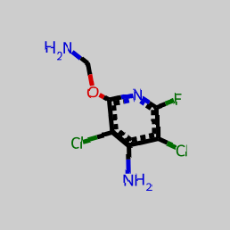 NCOc1nc(F)c(Cl)c(N)c1Cl